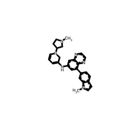 CN1CCC(N2C=CC=C(Nc3cc(-c4ccc5ccn(C)c5c4)c4nccnc4c3)C2)C1